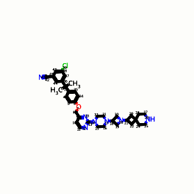 CC(C)(c1ccc(OCc2ccnc(N3CCN(C4CN(C5CC6(CCNCC6)C5)C4)CC3)n2)cc1)c1cc(Cl)cc(C#N)c1